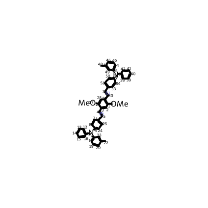 COc1cc(/C=C/c2ccc(N(c3ccccc3)c3cccc(C)c3)cc2)c(OC)cc1/C=C/c1ccc(N(c2ccccc2)c2cccc(C)c2)cc1